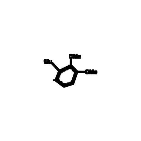 COc1cc[c]c(C(C)(C)C)c1OC